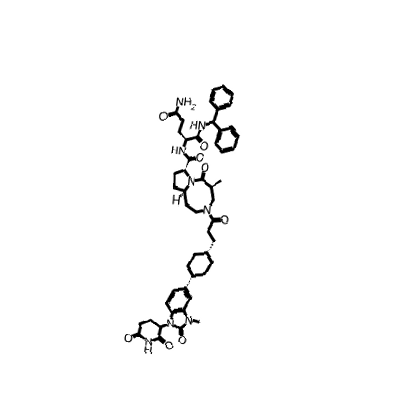 C[C@H]1CN(C(=O)CC[C@H]2CC[C@@H](c3ccc4c(c3)n(C)c(=O)n4C3CCC(=O)NC3=O)CC2)CC[C@H]2CC[C@@H](C(=O)N[C@@H](CCC(N)=O)C(=O)NC(c3ccccc3)c3ccccc3)N2C1=O